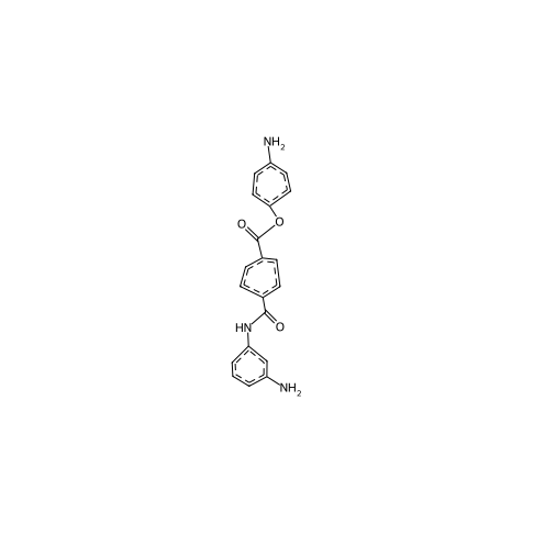 Nc1ccc(OC(=O)c2ccc(C(=O)Nc3cccc(N)c3)cc2)cc1